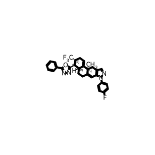 C[C@]12Cc3cnn(-c4ccc(F)cc4)c3C=C1CC[C@H]1C2=CC[C@@H](C(F)(F)F)[C@@H]1c1nnc(-c2ccccc2)o1